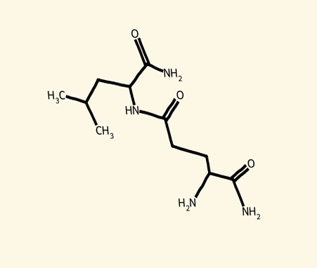 CC(C)CC(NC(=O)CCC(N)C(N)=O)C(N)=O